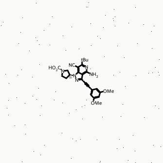 COc1cc(C#Cc2nn([C@H]3CCN(C(=O)O)C3)c3c(C#N)c(C(C)(C)C)nc(N)c23)cc(OC)c1